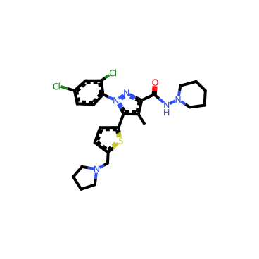 Cc1c(C(=O)NN2CCCCC2)nn(-c2ccc(Cl)cc2Cl)c1-c1ccc(CN2CCCC2)s1